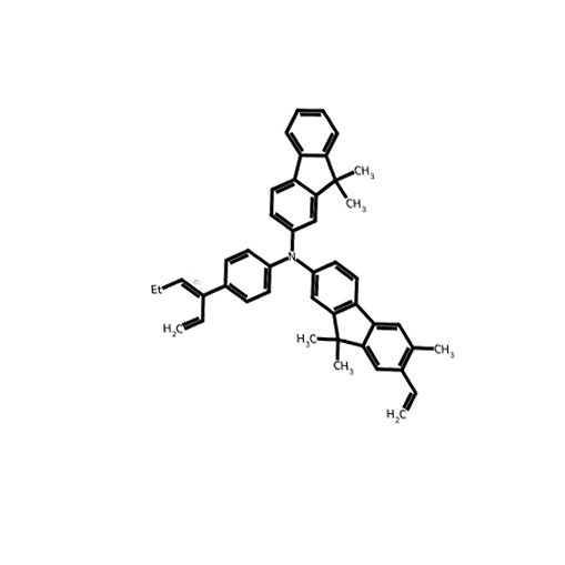 C=C/C(=C\CC)c1ccc(N(c2ccc3c(c2)C(C)(C)c2ccccc2-3)c2ccc3c(c2)C(C)(C)c2cc(C=C)c(C)cc2-3)cc1